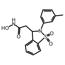 Cc1cccc(N2C(CC(=O)NO)c3ccccc3S2(=O)=O)c1